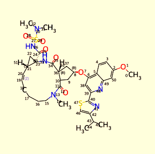 COc1ccc2c(O[C@H]3CC4C(=O)N(C)CCCC/C=C\[C@@H]5C[C@@]5(C(=O)NS(=O)(=O)N(C)C)NC(=O)[C@@H]4C3)cc(-c3nc(C(C)C)cs3)nc2c1